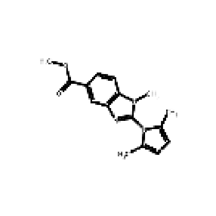 COC(=O)c1ccc2c(c1)nc(-n1c(C)ccc1C)n2C